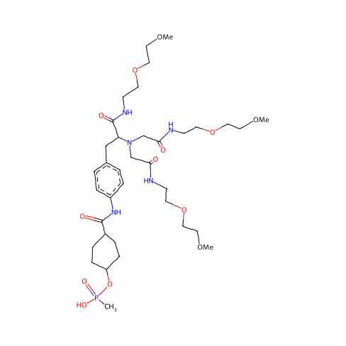 COCCOCCNC(=O)CN(CC(=O)NCCOCCOC)C(Cc1ccc(NC(=O)C2CCC(OP(C)(=O)O)CC2)cc1)C(=O)NCCOCCOC